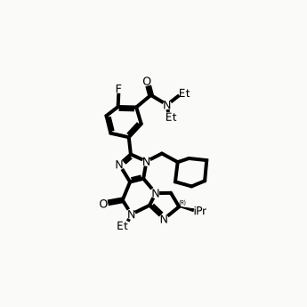 CCN(CC)C(=O)c1cc(-c2nc3c(n2CC2CCCCC2)N2C[C@@H](C(C)C)N=C2N(CC)C3=O)ccc1F